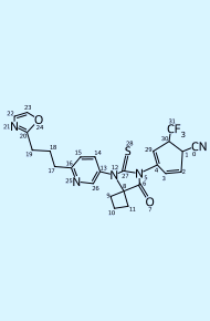 N#CC1C=CC(N2C(=O)C3(CCC3)N(c3ccc(CCCc4ncco4)nc3)C2=S)=CC1C(F)(F)F